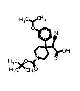 CC(C)Oc1cccc(C2(C(C#N)C(=O)O)CCN(C(=O)OC(C)(C)C)CC2)c1